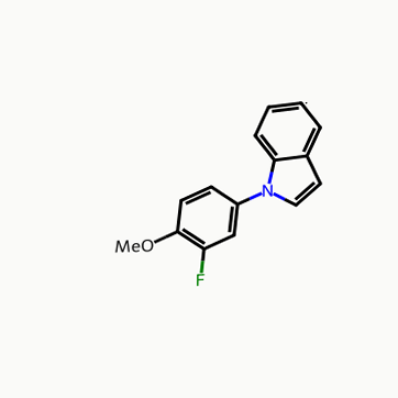 COc1ccc(-n2ccc3c[c]ccc32)cc1F